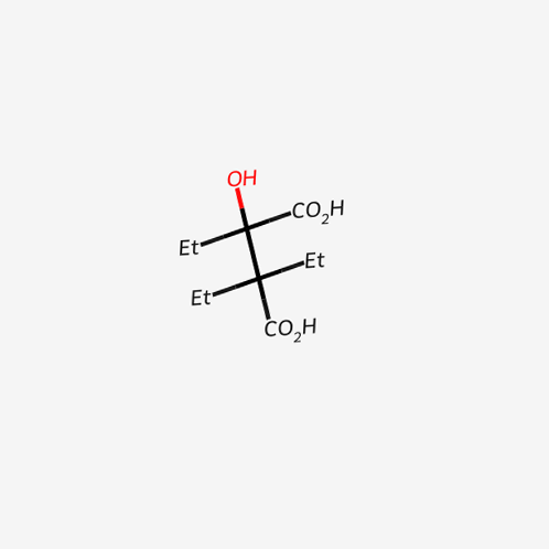 CCC(O)(C(=O)O)C(CC)(CC)C(=O)O